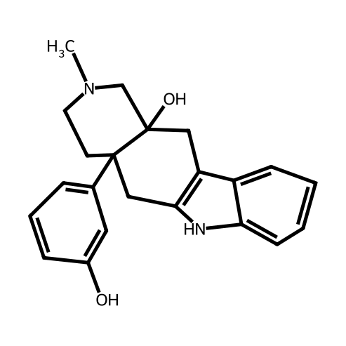 CN1CCC2(c3cccc(O)c3)Cc3[nH]c4ccccc4c3CC2(O)C1